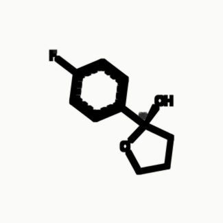 O[C@@]1(c2ccc(F)cc2)CCCO1